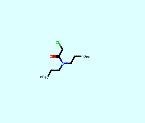 CCCCCCCCCCCCN(CCCCCCCCCCCC)C(=O)CCl